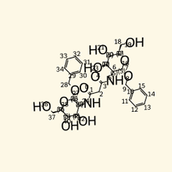 O=C(CC(=O)N[C@@H]1[C@@H](OCc2ccccc2)O[C@H](CO)[C@@H](O)[C@@H]1O)N[C@@H]1[C@@H](OCc2ccccc2)O[C@H](CO)[C@@H](O)[C@@H]1O